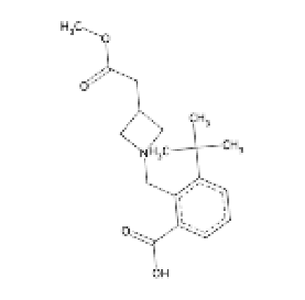 COC(=O)CC1CN(Cc2c(C(=O)O)cccc2C(C)(C)C)C1